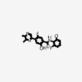 Cc1ncc(-c2cc(O)c(C(=O)Nc3c(F)cccc3Cl)cc2F)nc1C